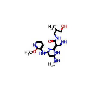 CNC1=CC(Nc2cccnc2OC)=N/C(=C(/C=N)C(=O)NCC(C)CO)N1